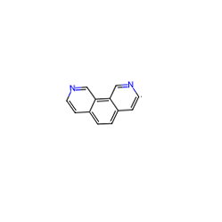 [c]1cc2ccc3ccncc3c2cn1